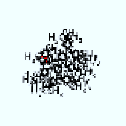 Cc1cc(C(C)(C)C)ccc1N1c2cc(N(c3ccc(C(C)(C)C)cc3)c3ccc(C(C)(C)C)cc3)ccc2B2c3cc4c(cc3N(c3ccc(C(C)(C)C)cc3-c3ccccc3)c3cc(N(c5ccc(C(C)(C)C)cc5)c5ccc(C(C)(C)C)cc5)cc1c32)C(C)(C)CCC4(C)C